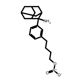 NC1(c2cccc(CCCCO[N+](=O)[O-])c2)C2CC3CC(C2)CC1C3